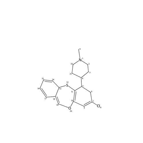 CN1CCC(C2CC(Cl)=CC3=C2SC2C=CC=CC2=CO3)CC1